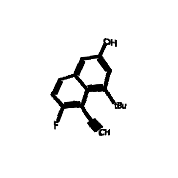 C#Cc1c(F)ccc2cc(O)cc(C(C)(C)C)c12